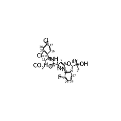 CC(C)[C@@](C)(O)COc1cc(C(=O)N[C@@H](CC(=O)O)c2ccc(Cl)cc2Cl)nn1-c1ccccc1F